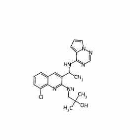 CC(Nc1ncnn2cccc12)c1cc2cccc(Cl)c2nc1NCC(C)(C)O